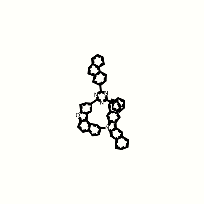 c1ccc(-c2nc(-c3ccc4c(ccc5ccccc54)c3)nc(-c3ccc4oc5ccc6ccc(-n7c8cc9ccccc9cc8c8cc9ccccc9cc87)cc6c5c4c3)n2)cc1